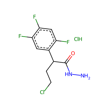 Cl.NNC(=O)C(CCCl)c1cc(F)c(F)cc1F